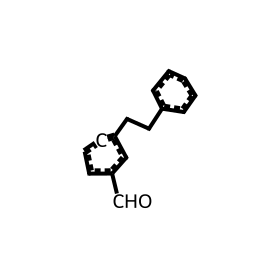 O=Cc1cccc(CCc2ccccc2)c1